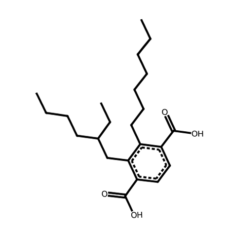 CCCCCCCc1c(C(=O)O)ccc(C(=O)O)c1CC(CC)CCCC